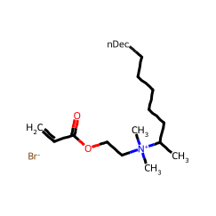 C=CC(=O)OCC[N+](C)(C)C(C)CCCCCCCCCCCCCCC.[Br-]